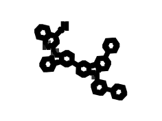 N#Cc1cc(-n2c3ccccc3c3cc(-c4ccc5c(c4)c4cc(-c6ccccc6)ccc4n5-c4cccc(-c5ccccc5)c4)ccc32)nc2ccccc12